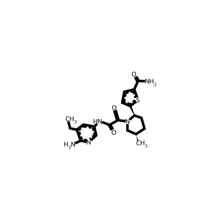 CCc1cc(NC(=O)C(=O)N2C[C@@H](C)CC[C@@H]2c2ccc(C(N)=O)s2)cnc1N